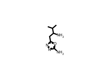 CC(C)C(N)Cc1nnc(N)o1